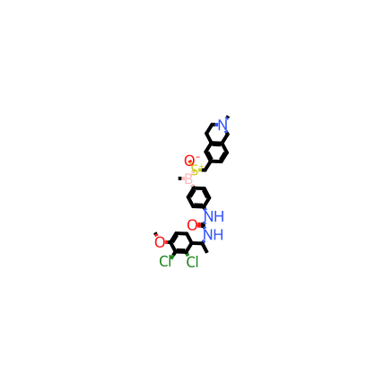 COC1=CCC(C(C)NC(=O)Nc2ccc(B(C)[S+]([O-])Cc3ccc4c(c3)CCN(C)C4)cc2)C(Cl)=C1Cl